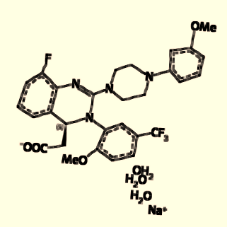 COc1cccc(N2CCN(C3=Nc4c(F)cccc4[C@H](CC(=O)[O-])N3c3cc(C(F)(F)F)ccc3OC)CC2)c1.O.O.O.[Na+]